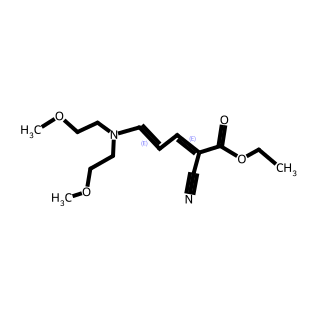 CCOC(=O)/C(C#N)=C/C=C/N(CCOC)CCOC